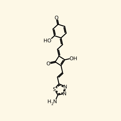 Nc1nnc(/C=C/C2=C(O)C(=C\C=C3\C=CC(=O)C=C3O)/C2=O)s1